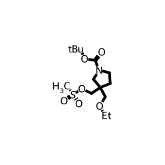 CCOCC1(COS(C)(=O)=O)CCN(C(=O)OC(C)(C)C)C1